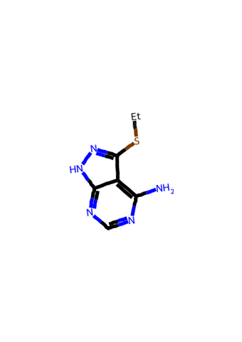 CCSc1n[nH]c2ncnc(N)c12